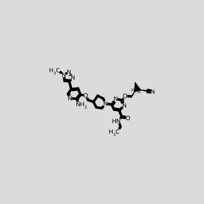 CCNC(=O)c1cc(N2CCC(COc3cc(-c4cn(C)nn4)cnc3N)CC2)nc(OC[C@H]2C[C@H]2C#N)n1